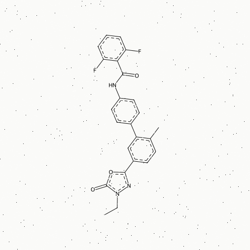 CCn1nc(-c2ccc(C)c(-c3ccc(NC(=O)c4c(F)cccc4F)cc3)c2)oc1=O